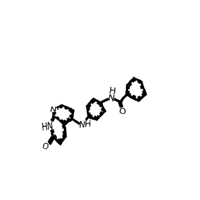 O=C(Nc1ccc(Nc2ccnc3[nH]c(=O)ccc23)cc1)c1ccccc1